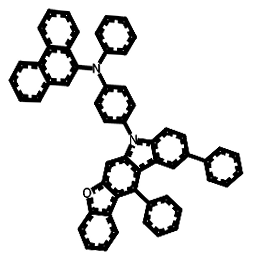 c1ccc(-c2ccc3c(c2)c2c(-c4ccccc4)c4c(cc2n3-c2ccc(N(c3ccccc3)c3cc5ccccc5c5ccccc35)cc2)oc2ccccc24)cc1